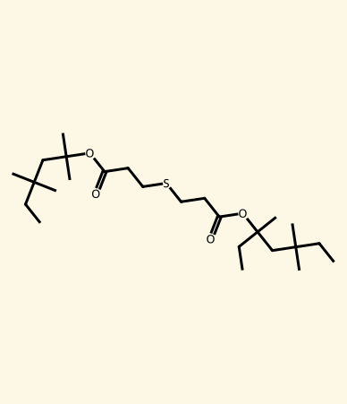 CCC(C)(C)CC(C)(C)OC(=O)CCSCCC(=O)OC(C)(CC)CC(C)(C)CC